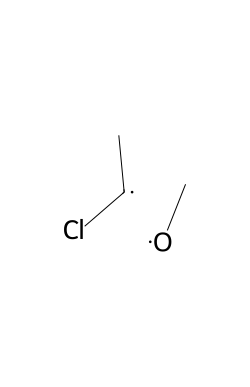 C[CH]Cl.C[O]